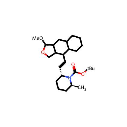 COC1OCC2C(C=C[C@H]3CCC[C@H](C)N3C(=O)OC(C)(C)C)C3CCCCC3CC12